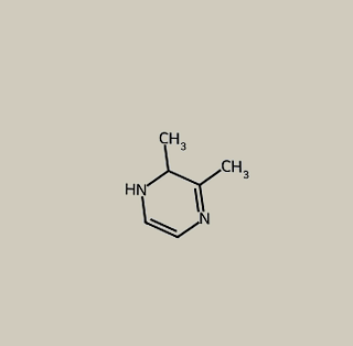 CC1=NC=CNC1C